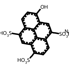 O=S(=O)(O)c1cc2c(S(=O)(=O)O)ccc3c(S(=O)(=O)O)cc4c(O)ccc1c4c32.[NaH]